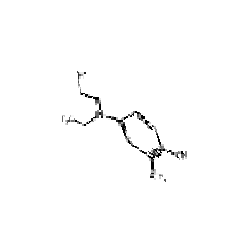 CC(C)CCN(CC(F)(F)F)c1ccc(C#N)c(C(F)(F)F)c1